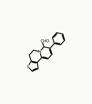 O=CC1C(c2ccccc2)=CC=C2c3ccsc3CCN21